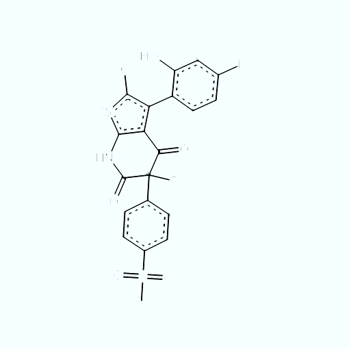 CS(=O)(=O)c1ccc(C2(F)C(=O)Nc3sc(Cl)c(-c4ccc(F)cc4O)c3C2=O)cc1